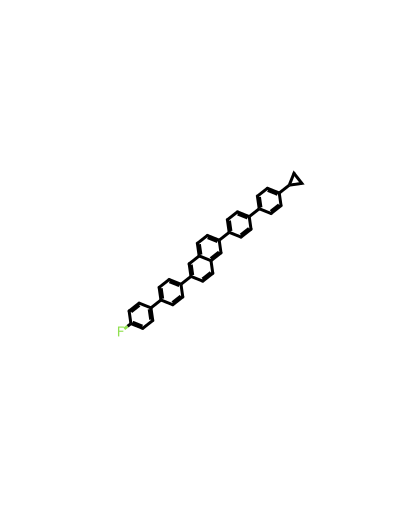 Fc1ccc(-c2ccc(-c3ccc4cc(-c5ccc(-c6ccc(C7CC7)cc6)cc5)ccc4c3)cc2)cc1